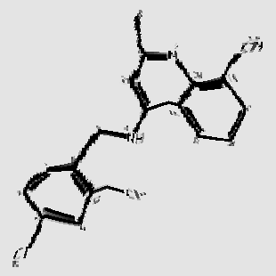 Cc1cc(NCc2ccc(Cl)cc2Cl)c2cccc(C#N)c2n1